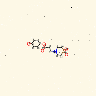 O=C1CCC(OC(=O)CCN2CCS(=O)(=O)CC2)CC1